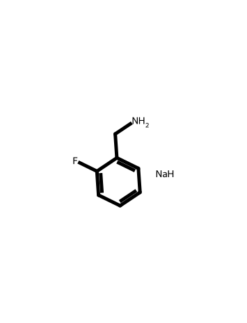 NCc1ccccc1F.[NaH]